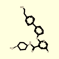 N[C@H]1CC[C@H](NC(=O)c2cc(F)cnc2Oc2cccc(-c3ccc(CCO)cc3)c2)CC1